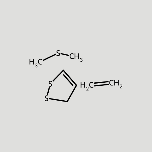 C1=CSSC1.C=C.CSC